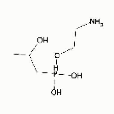 CC(O)C[PH](O)(O)OCCN